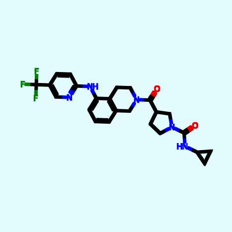 O=C(NC1CC1)N1CCC(C(=O)N2CCc3c(cccc3Nc3ccc(C(F)(F)F)cn3)C2)C1